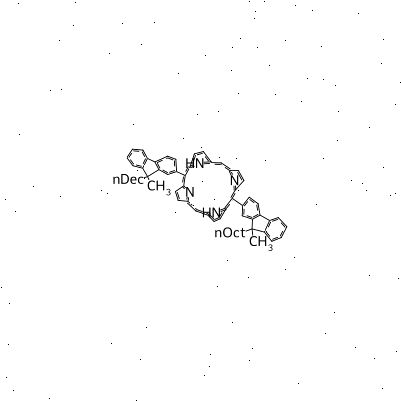 CCCCCCCCCCC1(C)c2ccccc2-c2ccc(-c3c4nc(cc5ccc([nH]5)c(-c5ccc6c(c5)C(C)(CCCCCCCC)c5ccccc5-6)c5nc(cc6ccc3[nH]6)C=C5)C=C4)cc21